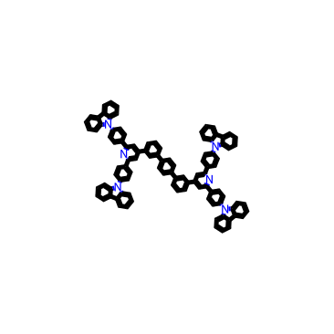 c1cc(-c2ccc(-c3cccc(-c4cc(-c5ccc(-n6c7ccccc7c7ccccc76)cc5)nc(-c5ccc(-n6c7ccccc7c7ccccc76)cc5)c4)c3)cc2)cc(-c2cc(-c3ccc(-n4c5ccccc5c5ccccc54)cc3)nc(-c3ccc(-n4c5ccccc5c5ccccc54)cc3)c2)c1